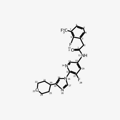 O=C(Cc1cccc(C(F)(F)F)c1F)Nc1cnc(-n2cnc(C3CCOCC3)c2)c(F)c1